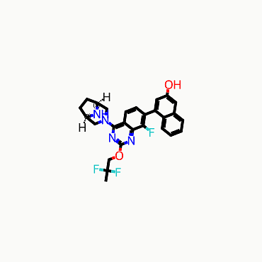 CC(F)(F)COc1nc(N2C[C@H]3CC[C@@H](C2)N3)c2ccc(-c3cc(O)cc4ccccc34)c(F)c2n1